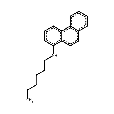 CCCCCCNc1cccc2c1ccc1ccccc12